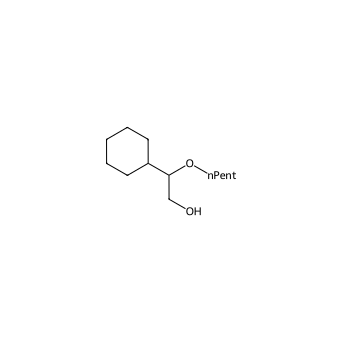 CCCCCOC(CO)C1CCCCC1